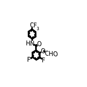 O=COc1c(F)cc(F)cc1C(=O)Nc1ccc(C(F)(F)F)cc1